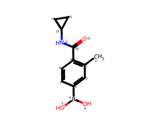 Cc1cc(B(O)O)ccc1C(=O)NC1CC1